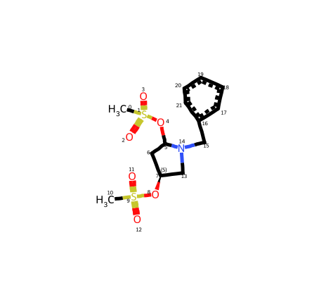 CS(=O)(=O)OC1C[C@H](OS(C)(=O)=O)CN1Cc1ccccc1